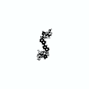 COC(=O)N[C@H](C(=O)N1CCC[C@H]1c1nc2ccc3cc(-c4ccc5c(ccc6nc([C@@H]7[C@H]8CC[C@H](C8)N7C(=O)[C@@H](NC(=O)OC)[C@@H](C)OC)[nH]c65)c4)ccc3c2[nH]1)C(C)C